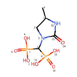 CC1CN(C(P(=O)(O)O)P(=O)(O)O)C(=O)N1